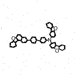 C1=CCC2Oc3ccc(N(c4ccc(-c5ccc(-c6ccc7c(ccc8oc9ccccc9c87)c6)cc5)cc4)c4ccc5oc6ccccc6c5c4)cc3C2=C1